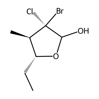 CC[C@H]1OC(O)[C@](Cl)(Br)[C@@H]1C